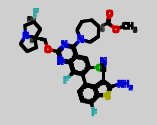 COC(=O)[C@H]1CCCN(c2nc(OC[C@@]34CCCN3C[C@H](F)C4)nc3c(F)c(-c4ccc(F)c5sc(N)c(C#N)c45)c(Cl)cc23)CC1